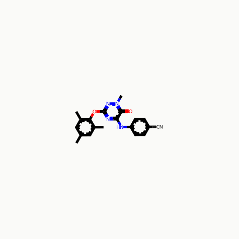 Cc1cc(C)c(Oc2nc(Nc3ccc(C#N)cc3)c(=O)n(C)n2)c(C)c1